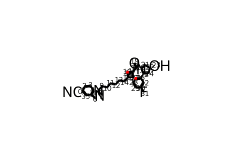 N#Cc1ccc2c(cnn2CCCCCCC23CC(C(=O)N4C[C@H](O)C[C@H]4c4cccc(F)c4)(C2)C3)c1